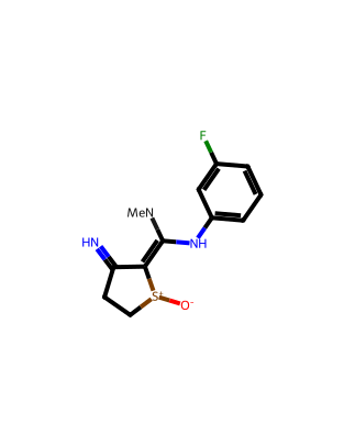 CN/C(Nc1cccc(F)c1)=C1\C(=N)CC[S+]1[O-]